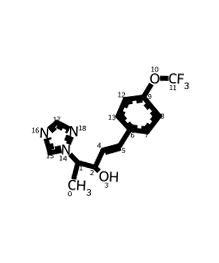 CC(C(O)C=Cc1ccc(OC(F)(F)F)cc1)n1cncn1